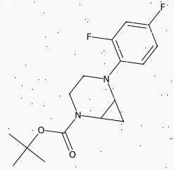 CC(C)(C)OC(=O)N1CCN(c2ccc(F)cc2F)C2CC21